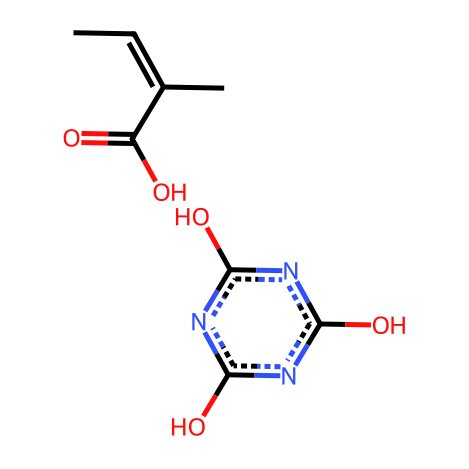 CC=C(C)C(=O)O.Oc1nc(O)nc(O)n1